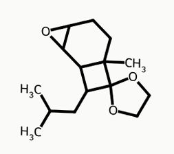 CC(C)CC1C2C3OC3CCC2(C)C12OCCO2